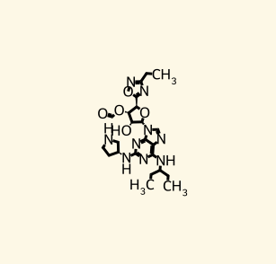 CCc1noc([C@H]2O[C@@H](n3cnc4c(NC(CC)CC)nc(N[C@@H]5CCNC5)nc43)[C@H](O)[C@@H]2OC=O)n1